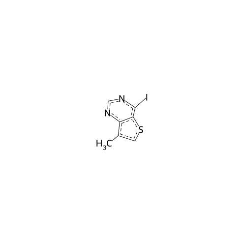 Cc1csc2c(I)ncnc12